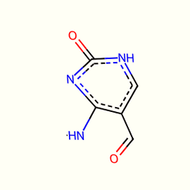 [NH]c1nc(=O)[nH]cc1C=O